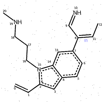 C=Cc1cc2ccc(/C(C=N)=C/C)cc2n1CCCNC